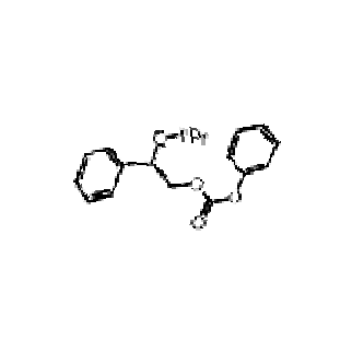 CCCOC(COC(=O)Oc1ccccc1)c1ccccc1